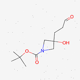 CC(C)(C)OC(=O)N1CC(O)(CCC=O)C1